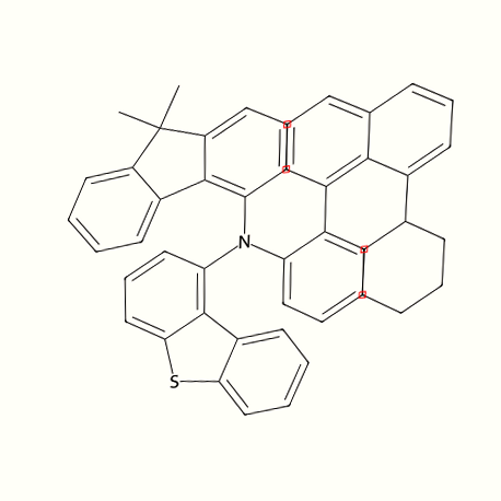 CC1(C)c2ccccc2-c2c(N(c3ccccc3-c3cccc4cccc(C5CCCCC5)c34)c3cccc4sc5ccccc5c34)cccc21